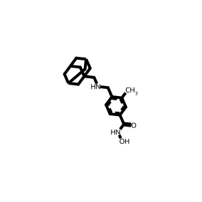 Cc1cc(C(=O)NO)ccc1CNCC12CC3CC(CC(C3)C1)C2